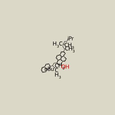 CCCCC(C)(C)C(Cc1cc(O)c2ccc3cc(C(C)CC(C)(C)CCC(C)C)cc4ccc1c2c34)c1ccc2ccccc2c1